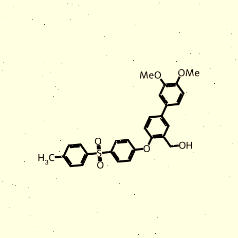 COc1ccc(-c2ccc(Oc3ccc(S(=O)(=O)c4ccc(C)cc4)cc3)c(CO)c2)cc1OC